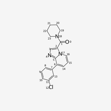 O=C(c1cnc2c(-c3cccc(Cl)c3)cccn12)N1CCCCC1